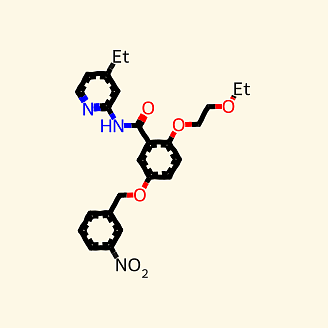 CCOCCOc1ccc(OCc2cccc([N+](=O)[O-])c2)cc1C(=O)Nc1cc(CC)ccn1